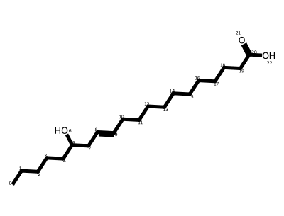 CCCCCC(O)C/C=C/CCCCCCCCCCC(=O)O